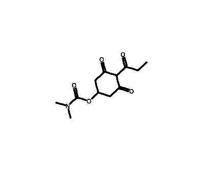 CCC(=O)C1C(=O)CC(OC(=O)N(C)C)CC1=O